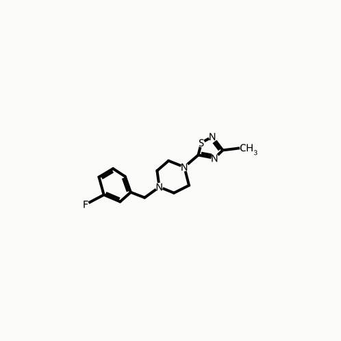 Cc1nsc(N2CCN(Cc3cccc(F)c3)CC2)n1